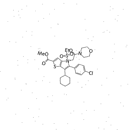 CCS(=O)(=O)[N+]1(CC(=O)N2CCOCC2)C(c2ccc(Cl)cc2)=C(C2CCCCC2)c2sc(C(=O)OC)cc21